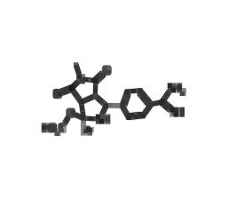 CC(C)C1(OC(=O)O)NC(c2ccc(C(=N)N)cc2)C2C(=O)N(C)C(=O)C21